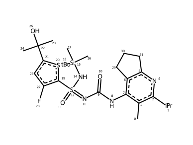 Cc1c(C(C)C)nc2c(c1NC(=O)N=S(=O)(N[Si](C)(C)C(C)(C)C)c1sc(C(C)(C)O)cc1F)CCC2